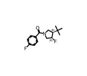 CC(C)(C)[C@@H]1CN(C(=O)c2ccc(F)cc2)C[C@@H]1F